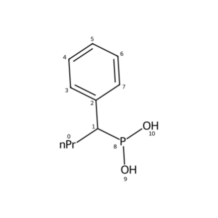 CCCC(c1ccccc1)P(O)O